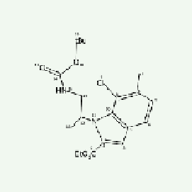 CCOC(=O)c1cc2ccc(C)c(Cl)c2n1C(C)CNC(=O)OC(C)(C)C